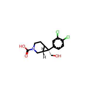 O=C(O)N1CC[C@H]2[C@@H](C1)[C@]2(CO)c1ccc(Cl)c(Cl)c1